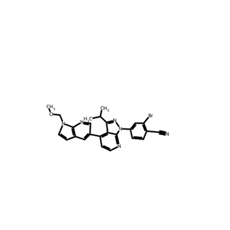 COCn1ccc2cc(-c3ccnc4c3c(C(C)C)nn4-c3ccc(C#N)c(Br)c3)cnc21